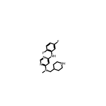 CN(CC1CCNCC1)c1cc(Nc2cc(F)ccc2F)ncn1